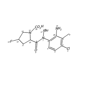 Cc1c(Cl)ccc(N(C(=O)C2CC(F)CN2C(=O)O)C(C)(C)C)c1N